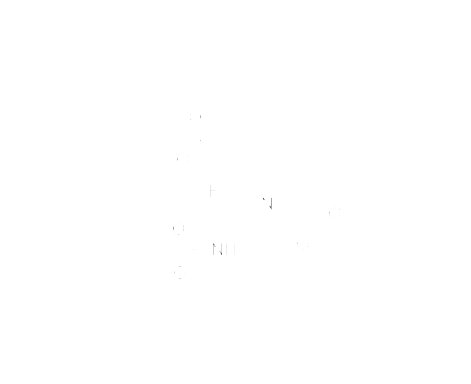 CCOC(=O)c1ccc2cc(C(=O)OCC)n(C(C)CNC(=O)OC(C)(C)C)c2c1F